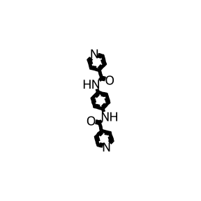 O=C(Nc1ccc(NC(=O)c2ccncc2)cc1)c1ccncc1